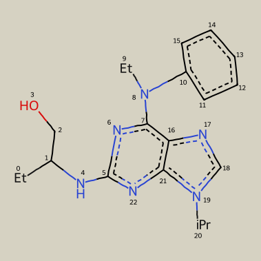 CCC(CO)Nc1nc(N(CC)c2ccccc2)c2ncn(C(C)C)c2n1